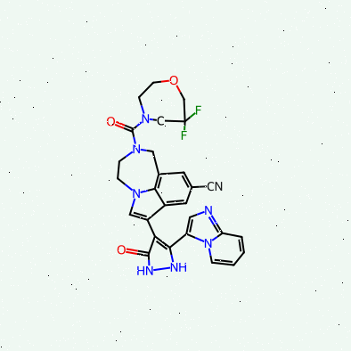 N#Cc1cc2c3c(c1)c(-c1c(-c4cnc5ccccn45)[nH][nH]c1=O)cn3CCN(C(=O)N1CCOCC(F)(F)C1)C2